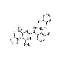 N=C(c1nc(N)c(N2CCOC2=O)c(N)n1)c1cccc(F)c1NCc1ccccc1F